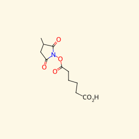 CC1CC(=O)N(OC(=O)CCCCC(=O)O)C1=O